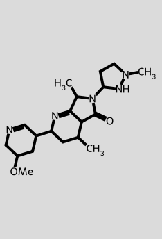 COC1CN=CC(C2CC(C)C3C(=O)N(C4CCN(C)N4)C(C)C3=N2)C1